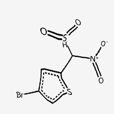 O=[N+]([O-])C(c1cc(Br)cs1)[SH](=O)=O